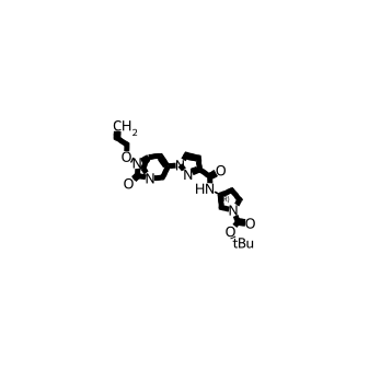 C=CCON1C(=O)N2CC(n3ccc(C(=O)N[C@@H]4CCN(C(=O)OC(C)(C)C)C4)n3)=CC1C2